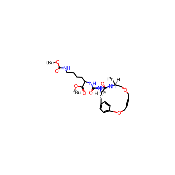 CC(C)[C@H]1COCC=CCOc2ccc(cc2)C[C@@H](NC(=O)NC(CCCCNC(=O)OC(C)(C)C)C(=O)OC(C)(C)C)C(=O)N1